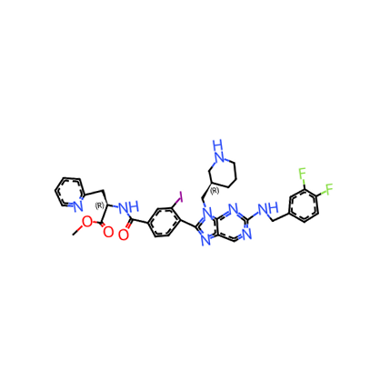 COC(=O)[C@@H](Cc1ccccn1)NC(=O)c1ccc(-c2nc3cnc(NCc4ccc(F)c(F)c4)nc3n2C[C@@H]2CCCNC2)c(I)c1